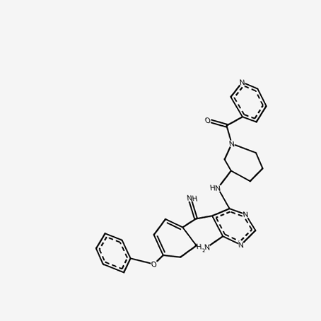 N=C(C1=CC=C(Oc2ccccc2)CC1)c1c(N)ncnc1NC1CCCN(C(=O)c2cccnc2)C1